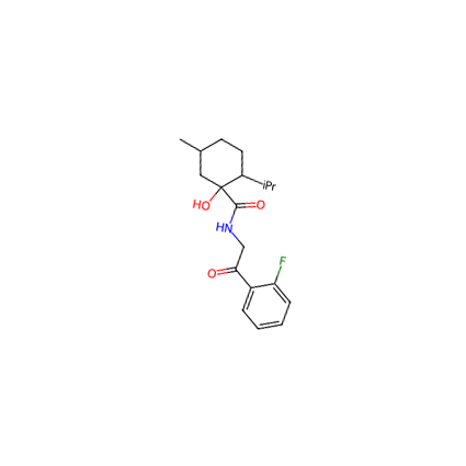 CC1CCC(C(C)C)C(O)(C(=O)NCC(=O)c2ccccc2F)C1